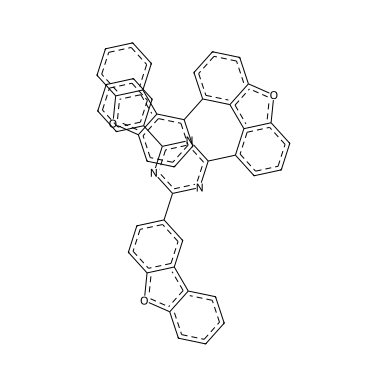 c1ccc(-c2nc(-c3ccc4oc5ccccc5c4c3)nc(-c3cccc4oc5cccc(-c6cccc7oc8ccccc8c67)c5c34)n2)cc1